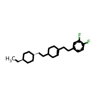 CC[C@H]1CC[C@H](CCC2CC=C(CCc3ccc(F)c(F)c3)CC2)CC1